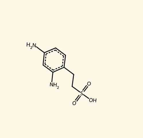 Nc1ccc(CCS(=O)(=O)O)c(N)c1